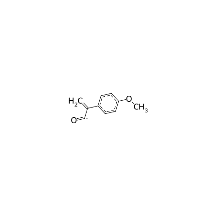 C=C([C]=O)c1ccc(OC)cc1